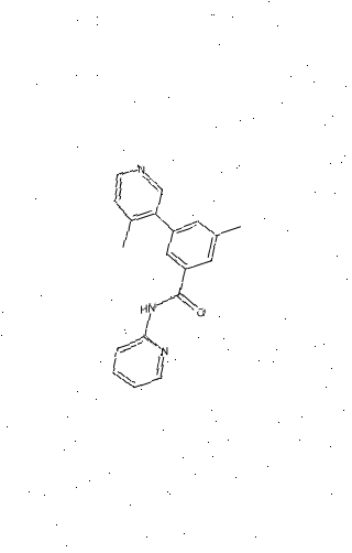 Cc1cc(C(=O)Nc2ccccn2)cc(-c2cnccc2C)c1